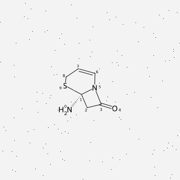 N[C@@]12CC(=O)N1C=CCS2